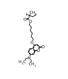 CCN(CC)c1ccc2c(OCCCCCCOC(=O)C(C)(I)CI)cc(=O)oc2c1